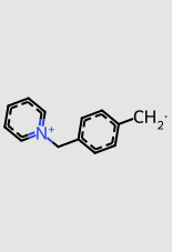 [CH2]c1ccc(C[n+]2ccccc2)cc1